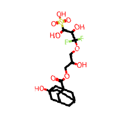 O=C(OCC(O)COC(F)(F)C(O)C(O)S(=O)(=O)O)C12CC3CC(CC(O)(C3)C1)C2